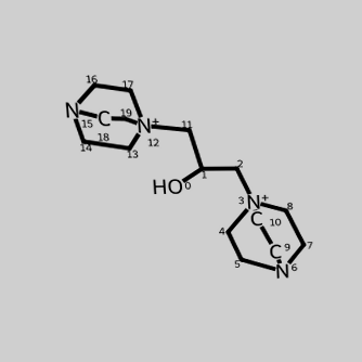 OC(C[N+]12CCN(CC1)CC2)C[N+]12CCN(CC1)CC2